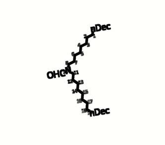 CCCCCCCCCCCCCCCCCCN(C=O)CCCCCCCCCCCCCCCCCC